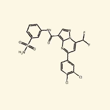 NS(=O)(=O)c1cccc(NC(=O)c2cnn3c(C(F)F)cc(-c4ccc(Cl)c(Cl)c4)nc23)c1